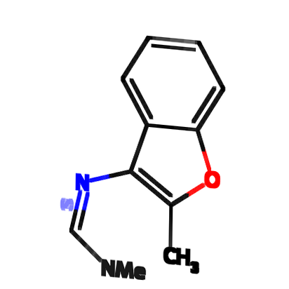 CN/C=N\c1c(C)oc2ccccc12